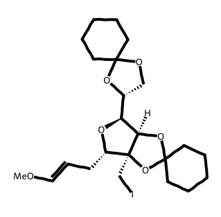 CO/C=C/C[C@@H]1O[C@@H]([C@H]2COC3(CCCCC3)O2)[C@H]2OC3(CCCCC3)O[C@@]12CI